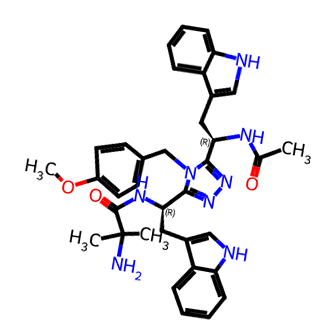 COc1ccc(Cn2c([C@@H](Cc3c[nH]c4ccccc34)NC(C)=O)nnc2[C@@H](Cc2c[nH]c3ccccc23)NC(=O)C(C)(C)N)cc1